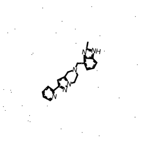 Cc1nc2c(CN3CCn4nc(-c5ccccn5)cc4C3)cccc2[nH]1